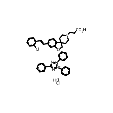 Cl.O=C(O)CCN1CCC2(CC1)COc1cc(/C=C/c3ccccc3Cl)ccc12.[Cl-].c1ccc(-c2nn(-c3ccccc3)[n+](-c3ccccc3)n2)cc1